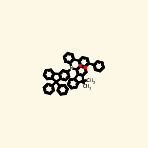 CC1(C)c2ccccc2-c2c(N(c3ccc4c(c3)-c3ccccc3C4(c3ccccc3)c3ccccc3)c3ccccc3-c3ccc(-c4ccccc4)cc3)cccc21